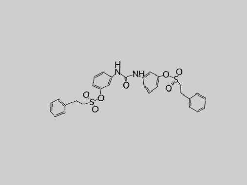 O=C(Nc1cccc(OS(=O)(=O)CCc2ccccc2)c1)Nc1cccc(OS(=O)(=O)CCc2ccccc2)c1